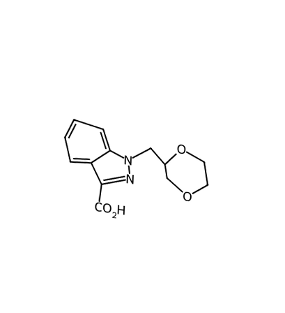 O=C(O)c1nn(CC2COCCO2)c2ccccc12